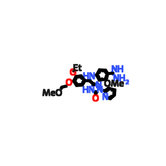 CCOc1cc(C(Nc2ccc(C(=N)N)cc2)c2nn(-c3ncccc3OC)c(=O)[nH]2)ccc1OCCOC